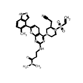 C=CS(=O)(=O)N1CCN(c2nc(NCCC(=O)N(C)C)nc3c2CC=C(c2c(C)ccc4[nH]ncc24)O3)CC1CC#N